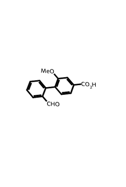 COc1cc(C(=O)O)ccc1-c1ccccc1C=O